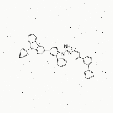 C=C(/C=C\N=C(/N)n1c2c(c3ccccc31)=CC(c1ccc3c(c1)c1ccccc1n3-c1ccccc1)CC=2)c1cccc(-c2ccccc2)c1